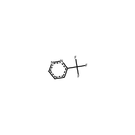 FC(F)(F)c1cc[c]nn1